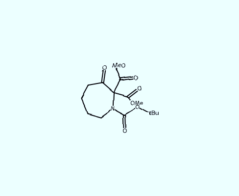 COC(=O)C1(C(=O)OC)C(=O)CCCCN1C(=O)OC(C)(C)C